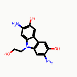 Nc1cc2c(cc1O)c1cc(O)c(N)cc1n2CCO